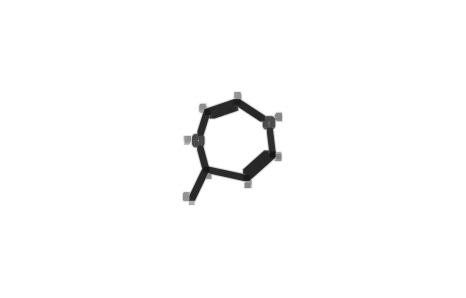 [CH2]C1C=COC=CO1